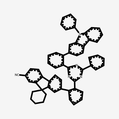 N#Cc1ccc2c(c1)C1(CCCCC1)c1cc(-c3ccccc3-c3nc(-c4ccccc4)nc(-c4ccccc4-c4ccc5c6ccccc6n(-c6ccccc6)c5c4)n3)ccc1-2